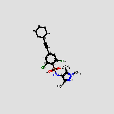 Cc1nn(C)c(C)c1NS(=O)(=O)c1c(Cl)cc(C#CC2CCCCC2)cc1Cl